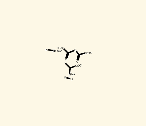 CCCCCCC(=O)OC(=O)CCCCCC.CCCCCCC(I)C(=O)[O-].[Cl][K].[K][Br].[Na+]